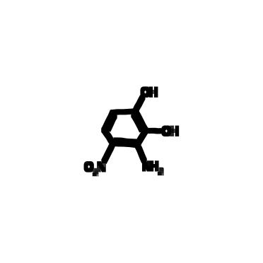 Nc1c([N+](=O)[O-])ccc(O)c1O